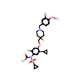 O=C(N(c1cc(C2CC2)c(OCC2(F)CCN(Cc3ccc(OC(F)(F)F)c(Cl)c3)CC2)cc1F)S(=O)(=O)C1CC1)C(F)(F)F